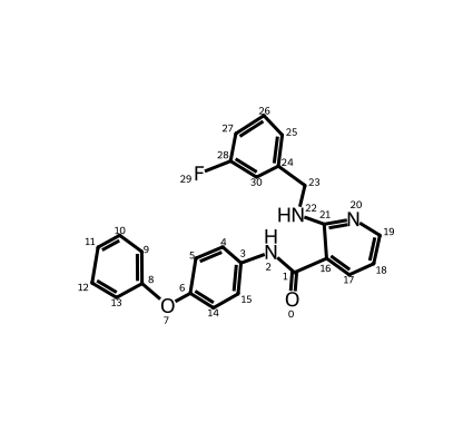 O=C(Nc1ccc(Oc2ccccc2)cc1)c1cccnc1NCc1cccc(F)c1